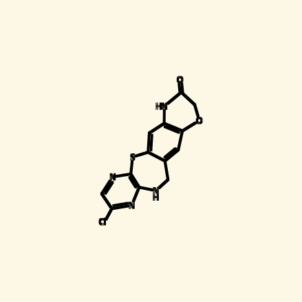 O=C1COc2cc3c(cc2N1)Sc1ncc(Cl)nc1NC3